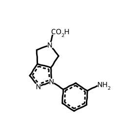 Nc1cccc(-n2ncc3c2CN(C(=O)O)C3)c1